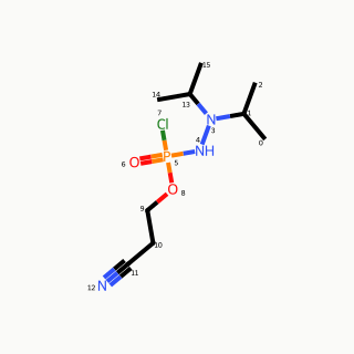 CC(C)N(NP(=O)(Cl)OCCC#N)C(C)C